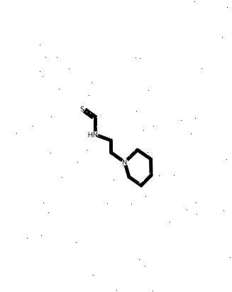 S=CNCCN1CCCCC1